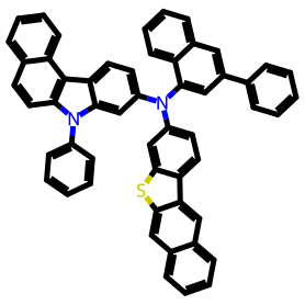 c1ccc(-c2cc(N(c3ccc4c(c3)sc3cc5ccccc5cc34)c3ccc4c5c6ccccc6ccc5n(-c5ccccc5)c4c3)c3ccccc3c2)cc1